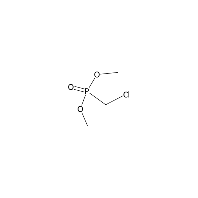 COP(=O)(CCl)OC